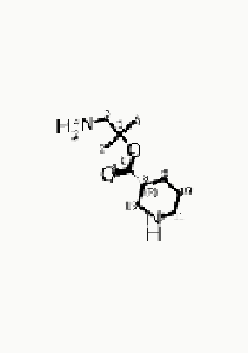 CC(C)(CN)OC(=O)[C@@H]1CCCNC1